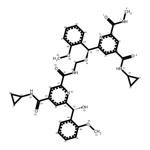 CNC(=O)c1cc(C(=O)NC2CC2)cc([C@@H](OCNC(=O)c2cc(C(=O)NC3CC3)cc([C@H](O)c3ccccc3OC)n2)c2ccccc2OC)n1